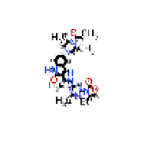 C=CC(=O)N1[C@H](C)CN(c2ccc3[nH]c(=O)c([C@H](C)Nc4nc(C)nc(N5C(=O)OC[C@@H]5CC)n4)cc3c2)C[C@@H]1C